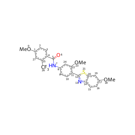 COc1ccc(C(=O)Nc2ccc(-c3nc4ccc(OC)cc4s3)c(OC)c2)c(C(F)(F)F)c1